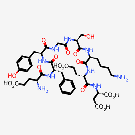 NCCCC[C@H](NC(=O)[C@H](CO)NC(=O)CNC(=O)[C@H](Cc1ccc(O)cc1)NC(=O)[C@H](Cc1ccccc1)NC(=O)[C@@H](N)CCC(=O)O)C(=O)N[C@@H](CCC(=O)O)C(=O)N[C@@H](CC(=O)O)C(=O)O